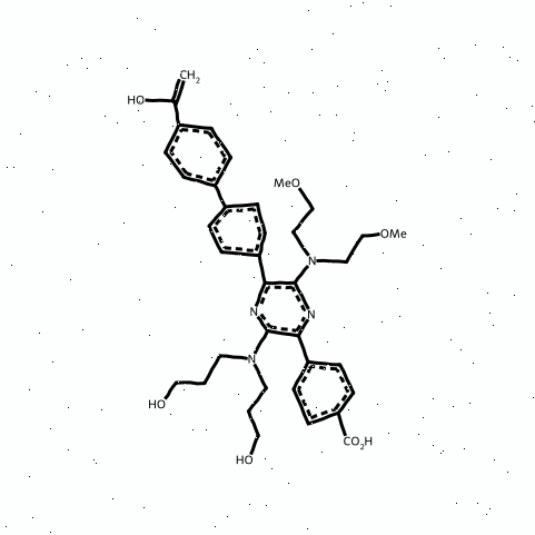 C=C(O)c1ccc(-c2ccc(-c3nc(N(CCCO)CCCO)c(-c4ccc(C(=O)O)cc4)nc3N(CCOC)CCOC)cc2)cc1